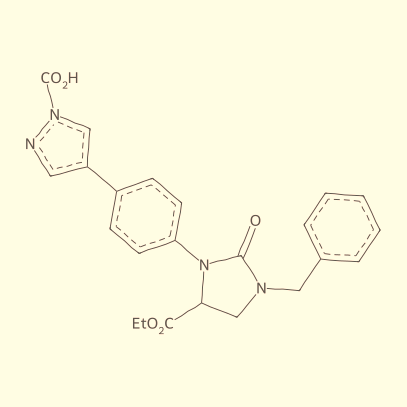 CCOC(=O)C1CN(Cc2ccccc2)C(=O)N1c1ccc(-c2cnn(C(=O)O)c2)cc1